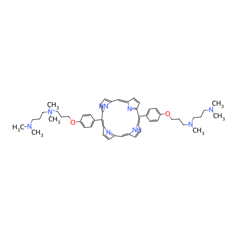 CN(C)CCCN(C)CCCOc1ccc(-c2c3nc(cc4ccc([nH]4)c(-c4ccc(OCCC[N+](C)(C)CCCN(C)C)cc4)c4nc(cc5ccc2[nH]5)C=C4)C=C3)cc1